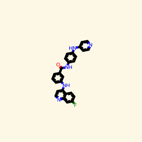 O=C(Nc1ccc(Nc2ccncc2)cc1)c1cccc(Nc2ccnc3cc(F)ccc23)c1